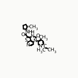 Cc1cc(CC(C)C)ncc1N1C(=O)Nc2c(C(=O)N[C@@H]3CCC[C@@H]3C)sc3nccc1c23